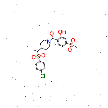 CC(C1CCN(C(=O)c2ccc(S(C)(=O)=O)cc2O)CC1)S(=O)(=O)c1ccc(Cl)cc1